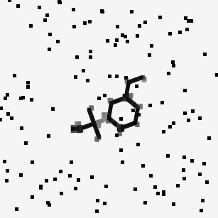 CCN1CCO[C@H](C(C)(C)O)C1